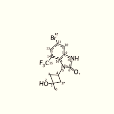 CC1(O)CC(n2c(=O)[nH]c3cc(Br)cc(C(F)(F)F)c32)C1